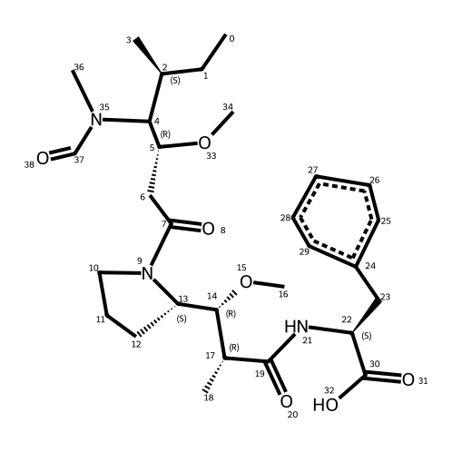 CC[C@H](C)C([C@@H](CC(=O)N1CCC[C@H]1[C@H](OC)[C@@H](C)C(=O)N[C@@H](Cc1ccccc1)C(=O)O)OC)N(C)C=O